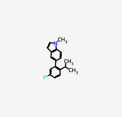 CC(C)c1ccc(F)cc1-c1ccc2c(ccn2C)c1